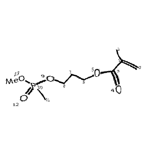 C=C(C)C(=O)OCCCOP(C)(=O)OC